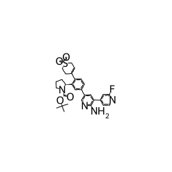 CC(C)(C)OC(=O)N1CCC[C@H]1c1cc(-c2cnc(N)c(-c3ccnc(F)c3)c2)ccc1C1=CCS(=O)(=O)CC1